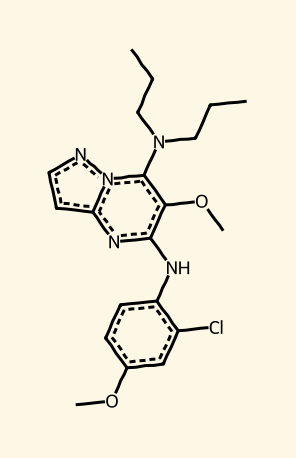 CCCN(CCC)c1c(OC)c(Nc2ccc(OC)cc2Cl)nc2ccnn12